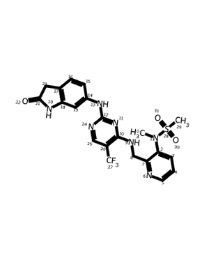 CN(c1cccnc1CNc1nc(Nc2ccc3c(c2)NC(=O)C3)ncc1C(F)(F)F)S(C)(=O)=O